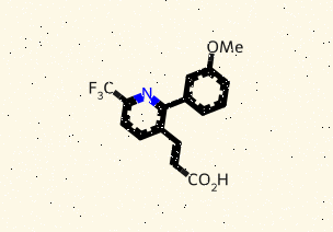 COc1cccc(-c2nc(C(F)(F)F)ccc2/C=C/C(=O)O)c1